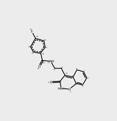 O=C1NOC2=CC=CCC2=C1CCNC(=O)c1ccc(F)cc1